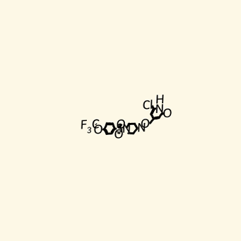 O=c1cc(CON=C2CCN(S(=O)(=O)c3ccc(OC(F)(F)F)cc3)CC2)cc(Cl)[nH]1